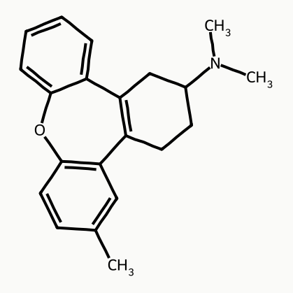 Cc1ccc2c(c1)C1=C(CC(N(C)C)CC1)c1ccccc1O2